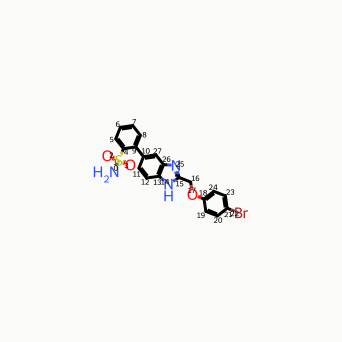 NS(=O)(=O)c1ccccc1-c1ccc2[nH]c(COc3ccc(Br)cc3)nc2c1